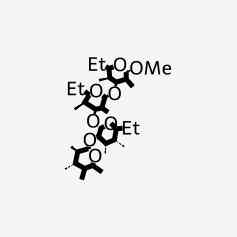 CCC1O[C@@H](O[C@@H]2C(C)[C@H](O[C@@H]3C(C)[C@@H](OC)OC(CC)[C@@H]3C)OC(CC)[C@@H]2C)C(OC2OC(C)C(C)[C@H](C)[C@H]2C)[C@@H](C)[C@H]1C